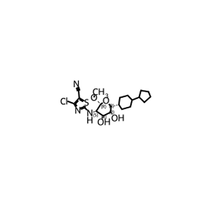 CO[C@@H]1O[C@H](C2CCC(C3CCCC3)CC2)[C@H](O)[C@H](O)[C@@H]1Nc1nc(Cl)c(C#N)s1